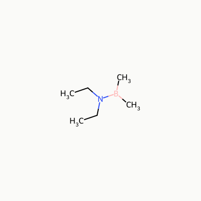 CCN(CC)B(C)C